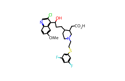 COc1ccc2ncc(Cl)c(C(O)CCC3CCN(CCSc4cc(F)cc(F)c4)CC3CC(=O)O)c2c1